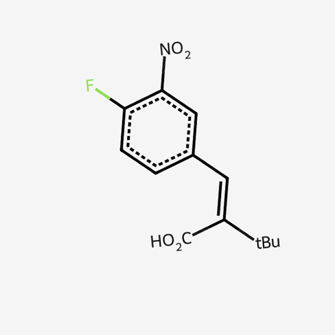 CC(C)(C)C(=Cc1ccc(F)c([N+](=O)[O-])c1)C(=O)O